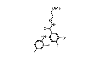 COCCONC(=O)c1cc(Br)c(F)cc1Nc1ccc(I)cc1F